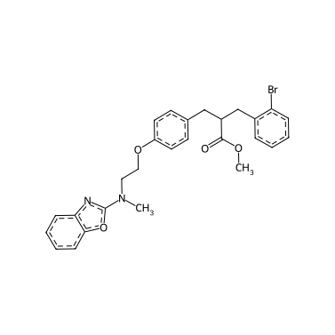 COC(=O)C(Cc1ccc(OCCN(C)c2nc3ccccc3o2)cc1)Cc1ccccc1Br